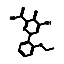 CCOc1ccccc1-n1cc(O)c(=O)c(C(=O)O)n1